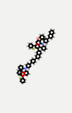 c1ccc(N(c2ccc(-c3ccc(-c4ccc5ccc(-c6c(-c7ccccc7N(c7ccc(-c8ccc9ccccc9c8)cc7)c7cccc8oc9ccccc9c78)ccc7c6sc6ccccc67)cc5c4)cc3)cc2)c2cccc3oc4ccccc4c23)c(-c2ccc3c(c2)sc2ccccc23)c1